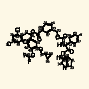 O=C(NC(C(=O)O[C@H]1CN2CCC1CC2)c1ccccc1)OCc1cccc(C(=O)OC(Cc2c(Cl)c[n+]([O-])cc2Cl)c2ccc(OC(F)F)c(OCC3CC3)c2)c1